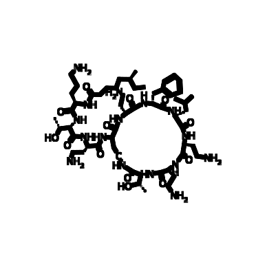 CC[C@H](C)CCCCC(=O)N[C@H](CCCN)C(=O)N[C@H](C(=O)N[C@@H](CCN)C(=O)NC1CCNC(=O)[C@@H]([C@H](C)O)NC(=O)[C@H](CCN)NC(=O)[C@H](CCN)NC(=O)[C@@H](CC(C)C)NC(=O)[C@@H](Cc2ccccc2)NC(=O)[C@@H](CCN)NC1=O)[C@@H](C)O